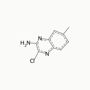 Cc1ccc2nc(Cl)c(N)nc2c1